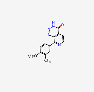 COc1ccc(-c2nccc3c(=O)[nH]nnc23)cc1C(F)(F)F